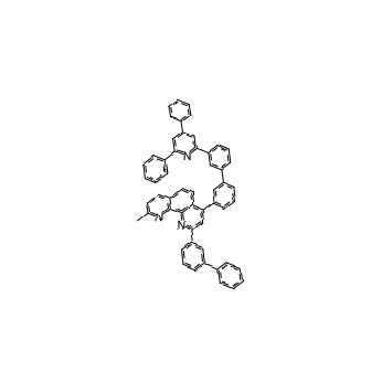 Cc1ccc2ccc3c(-c4cccc(-c5cccc(-c6cc(-c7ccccc7)cc(-c7ccccc7)n6)c5)c4)cc(-c4cccc(-c5ccccc5)c4)nc3c2n1